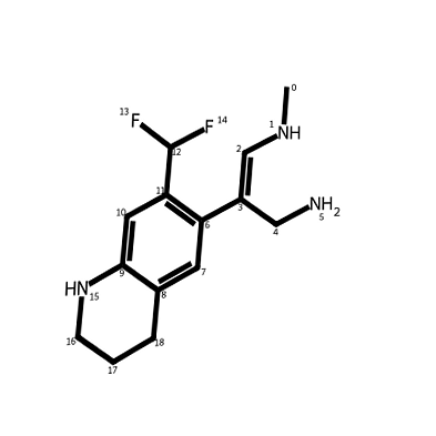 CN/C=C(\CN)c1cc2c(cc1C(F)F)NCCC2